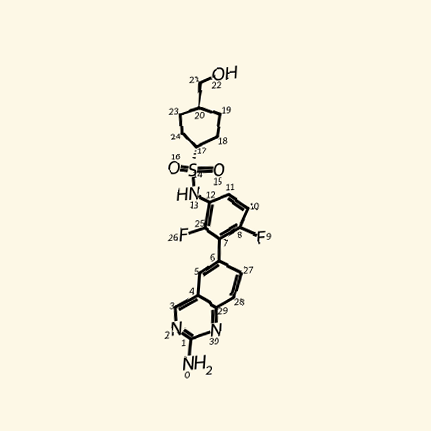 Nc1ncc2cc(-c3c(F)ccc(NS(=O)(=O)[C@H]4CC[C@H](CO)CC4)c3F)ccc2n1